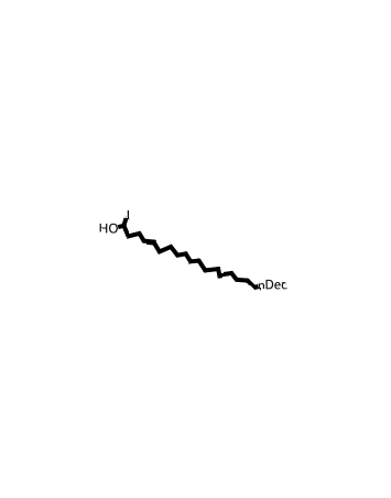 CCCCCCCCCCCCCCCCCCCCCCCCCCCC(O)I